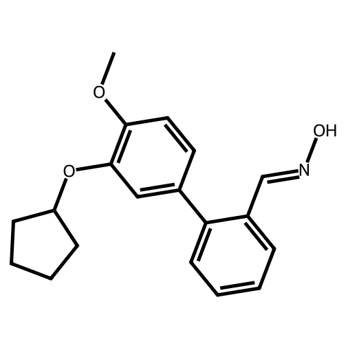 COc1ccc(-c2ccccc2C=NO)cc1OC1CCCC1